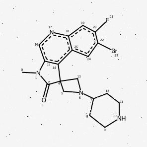 CN1C(=O)C2(CN(C3CCNCC3)C2)c2c1cnc1cc(F)c(Br)cc21